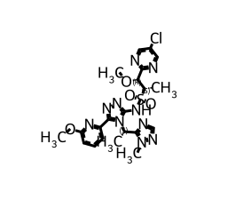 COc1cccc(-c2nnc(NS(=O)(=O)[C@@H](C)[C@H](OC)c3ncc(Cl)cn3)n2[C@@H](C)c2ncnn2C)n1